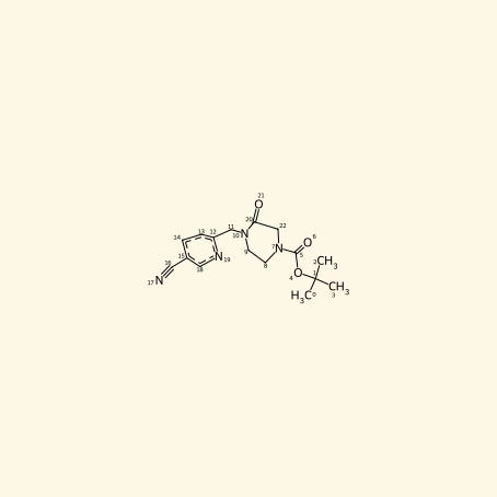 CC(C)(C)OC(=O)N1CCN(Cc2ccc(C#N)cn2)C(=O)C1